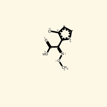 CON=C(C(=O)O)c1sccc1Cl